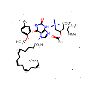 CC(=O)c1ccc(OS(=O)(=O)O)cc1.CCC(C)C(=O)OC(CC(=O)[O-])C[N+](C)(C)C.CCCCC/C=C\C/C=C\C/C=C\C/C=C\CCCC(=O)O.CNCC(=O)O.Cn1cnc2[nH]c(=O)[nH]c(=O)c21